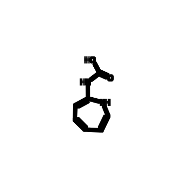 O=C(O)NC1=CC=CC=CN1